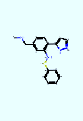 CNCc1ccc(-c2ccn[nH]2)c(NSc2ccccc2)c1